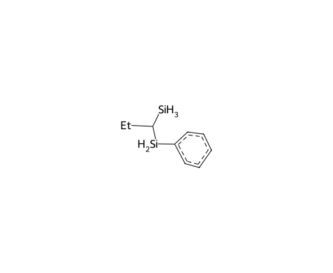 CCC([SiH3])[SiH2]c1ccccc1